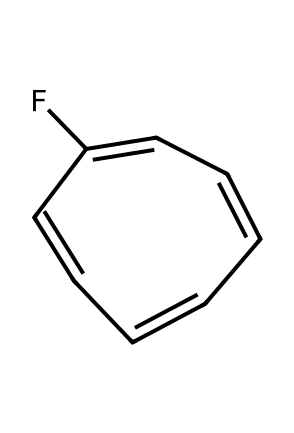 FC1=CC=CC=CC=C1